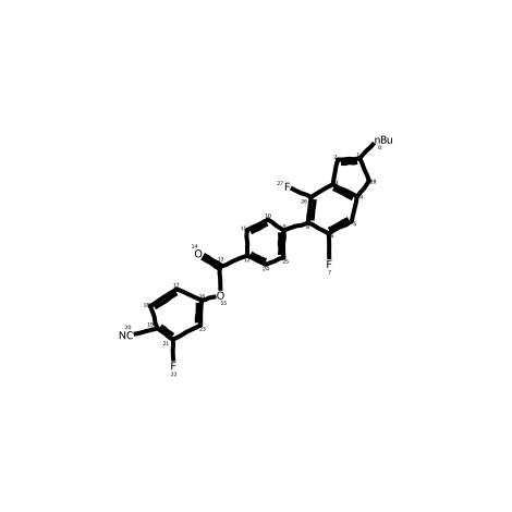 CCCCC1=Cc2c(cc(F)c(-c3ccc(C(=O)Oc4ccc(C#N)c(F)c4)cc3)c2F)C1